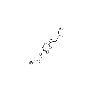 CC(C)C(C)C(C)COC(=O)/C=C\C(=O)OCC(C)C(C)C(C)C